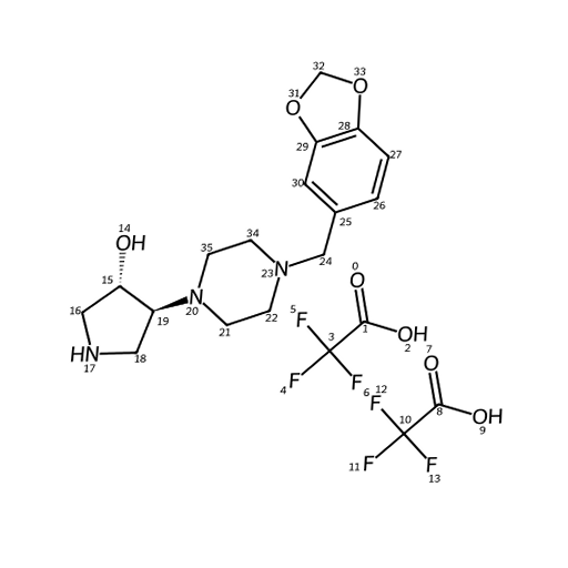 O=C(O)C(F)(F)F.O=C(O)C(F)(F)F.O[C@H]1CNC[C@@H]1N1CCN(Cc2ccc3c(c2)OCO3)CC1